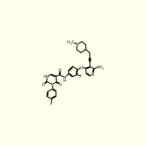 CN1CCC(CC#Cc2c(Oc3ccc(NC(=O)c4c[nH]c(=O)n(-c5ccc(F)cc5)c4=O)cc3F)ccnc2N)CC1